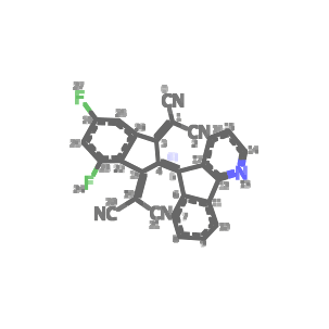 N#CC(C#N)=C1/C(=C2/c3ccccc3-c3ncccc32)C(=C(C#N)C#N)c2c(F)cc(F)cc21